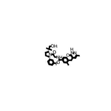 Cc1cc(Cc2ccc(C(=O)NCC(=O)N3[C@H](c4cccc(F)c4)CC[C@@H]3C(C)(C)CO)cc2C)c(=O)[nH]n1